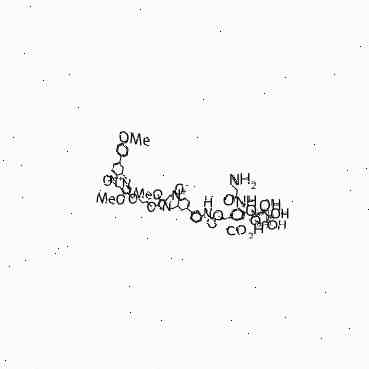 COc1ccc(C2=CC=C3C(C2)Cn2cc(OCCCOc4cn5c(c4OC)C=[N+]([O-])C4=CC=C(c6cccc(NC(=O)OCc7ccc(O[C@@H]8O[C@H](C(=O)O)[C@@H](O)[C@H](O)[C@H]8O)c(NC(=O)CCN)c7)c6)CC4C5)c(OC)c2C=[N+]3[O-])cc1